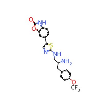 NC(CNc1ncc(-c2ccc3[nH]c(=O)oc3c2)s1)Cc1ccc(OC(F)(F)F)cc1